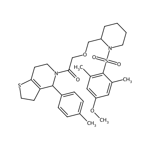 COc1cc(C)c(S(=O)(=O)N2CCCCC2COCC(=O)N2CCC3=C(CCS3)C2c2ccc(C)cc2)c(C)c1